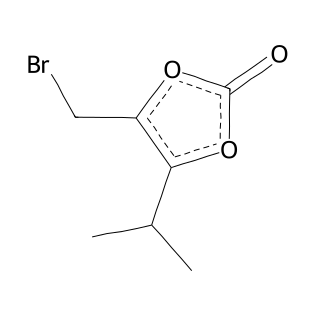 CC(C)c1oc(=O)oc1CBr